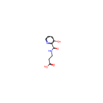 O=C(O)CCNC(=O)c1ncccc1O